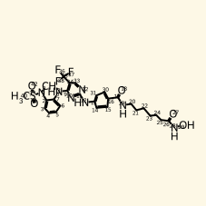 CN(c1ccccc1Nc1nc(Nc2ccc(C(=O)NCCCCCCC(=O)NO)cc2)ncc1C(F)(F)F)S(C)(=O)=O